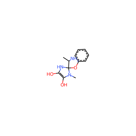 CC(N)C1(Oc2ccccc2)NC(O)=C(O)N1C